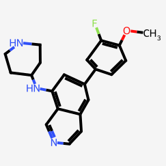 COc1ccc(-c2cc(NC3CCNCC3)c3cnccc3c2)cc1F